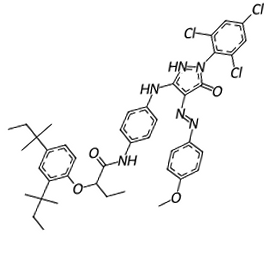 CCC(Oc1ccc(C(C)(C)CC)cc1C(C)(C)CC)C(=O)Nc1ccc(Nc2[nH]n(-c3c(Cl)cc(Cl)cc3Cl)c(=O)c2N=Nc2ccc(OC)cc2)cc1